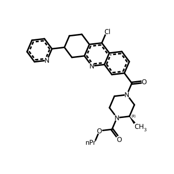 CCCOC(=O)N1CCN(C(=O)c2ccc3c(Cl)c4c(nc3c2)CC(c2ccccn2)CC4)C[C@H]1C